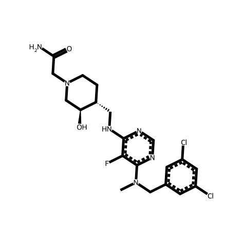 CN(Cc1cc(Cl)cc(Cl)c1)c1ncnc(NC[C@H]2CCN(CC(N)=O)C[C@@H]2O)c1F